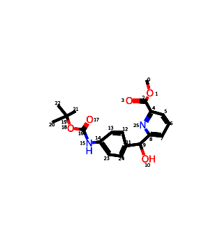 COC(=O)c1cccc(C(O)c2ccc(NC(=O)OC(C)(C)C)cc2)n1